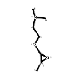 C[C@@H]1OC1OCCN(C)C